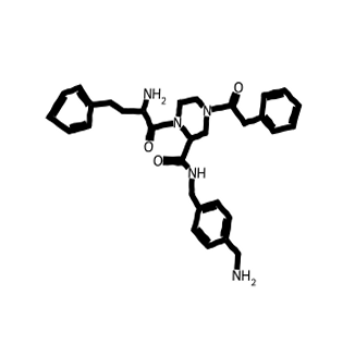 NCc1ccc(CNC(=O)C2CN(C(=O)Cc3ccccc3)CCN2C(=O)C(N)CCc2ccccc2)cc1